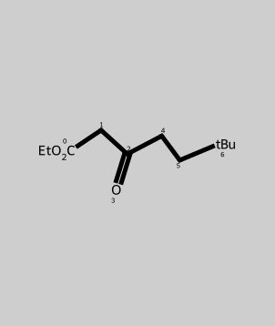 CCOC(=O)CC(=O)CCC(C)(C)C